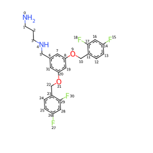 NCCCNCc1cc(OCc2ccc(F)cc2F)cc(OCc2ccc(F)cc2F)c1